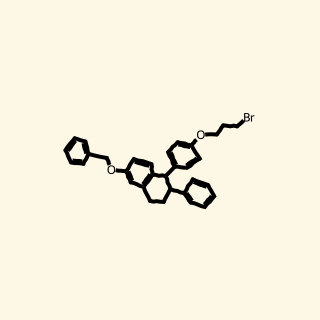 BrCCCOc1ccc(C2c3ccc(OCc4ccccc4)cc3CCC2c2ccccc2)cc1